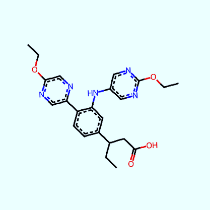 CCOc1cnc(-c2ccc(C(CC)CC(=O)O)cc2Nc2cnc(OCC)nc2)cn1